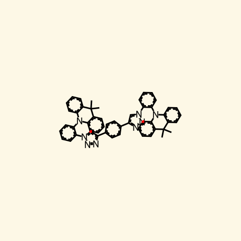 CC1(C)c2ccccc2N(c2ccccc2-n2cc(-c3ccc(-c4cn(-c5ccccc5N5c6ccccc6C(C)(C)c6ccccc65)nn4)cc3)nn2)c2ccccc21